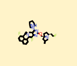 C#Cc1c(F)ccc2cccc(-c3ncc4c(N5CC6CCC(C5)N6)nc(OC[C@@]56CC[C@@H](CCF)N5CC(=C)C6)nc4c3F)c12